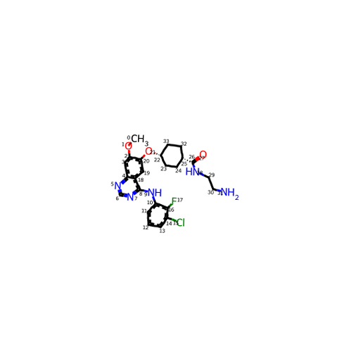 COc1cc2ncnc(Nc3cccc(Cl)c3F)c2cc1O[C@H]1CC[C@@H](C(=O)NCCN)CC1